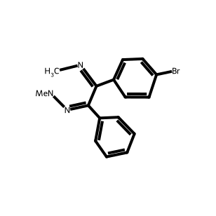 C/N=C(\C(=N/NC)c1ccccc1)c1ccc(Br)cc1